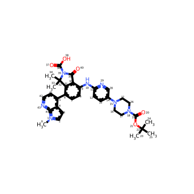 Cn1ccc2c(-c3ccc(Nc4ccc(N5CCN(C(=O)OC(C)(C)C)CC5)cn4)c4c3C(C)(C)N(C(=O)O)C4=O)ccnc21